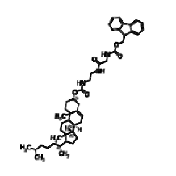 CC(C)CCC[C@@H](C)C1CC[C@H]2[C@@H]3CC=C4C[C@@H](OC(=O)NCCNC(=O)CNC(=O)OCC5c6ccccc6-c6ccccc65)CCC4(C)C3CCC12C